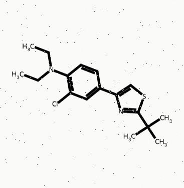 CCN(CC)c1ccc(-c2csc(C(C)(C)C)n2)cc1Cl